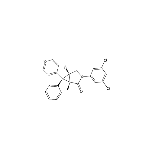 C[C@]12C(=O)N(c3cc(Cl)cc(Cl)c3)C[C@H]1[C@@]2(c1ccccc1)c1ccncc1